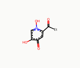 CCC(=O)c1cc(=O)c(O)cn1O